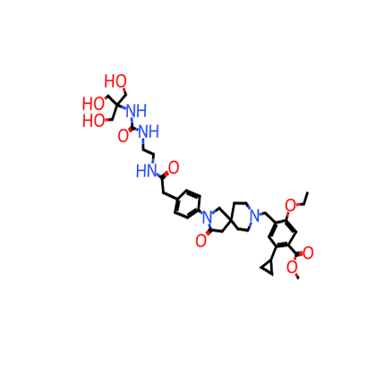 CCOc1cc(C(=O)OC)c(C2CC2)cc1CN1CCC2(CC1)CC(=O)N(c1ccc(CC(=O)NCCNC(=O)NC(CO)(CO)CO)cc1)C2